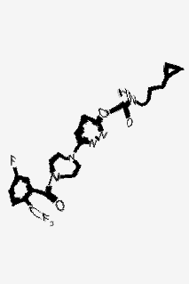 O=C(NCCCC1CC1)Oc1ccc(N2CCN(C(=O)c3cc(F)ccc3C(F)(F)F)CC2)nn1